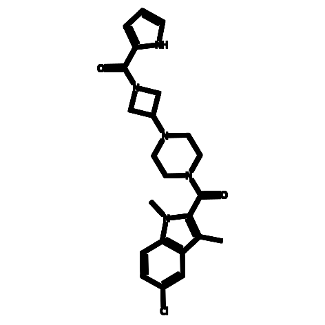 Cc1c(C(=O)N2CCN(C3CN(C(=O)c4ccc[nH]4)C3)CC2)n(C)c2ccc(Cl)cc12